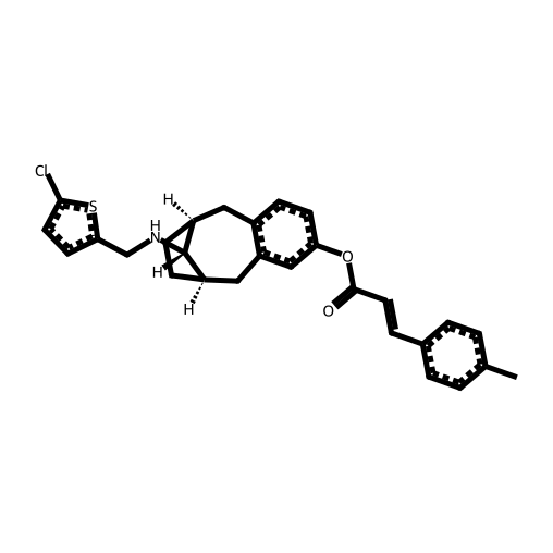 Cc1ccc(/C=C/C(=O)Oc2ccc3c(c2)C[C@H]2CC[C@@H](C3)[C@H]2NCc2ccc(Cl)s2)cc1